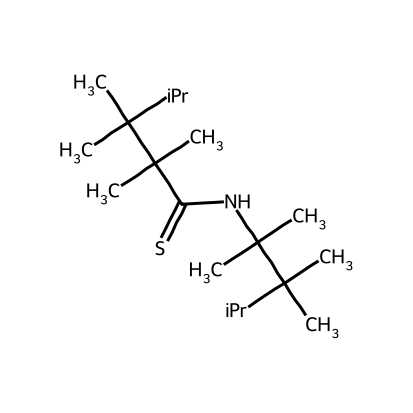 CC(C)C(C)(C)C(C)(C)NC(=S)C(C)(C)C(C)(C)C(C)C